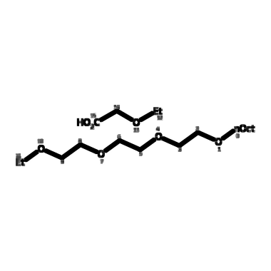 CCCCCCCCOCCOCCOCCOCC.CCOCC(=O)O